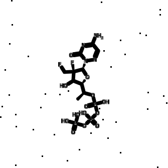 C[C@H](OP(=O)(O)OP(=O)(O)OP(=O)(O)O)[C@H]1O[C@@H](n2ncc(N)nc2=O)[C@@](F)(CF)C1O